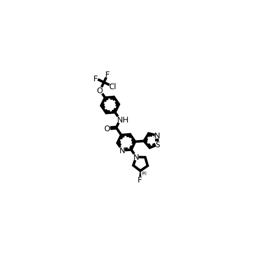 O=C(Nc1ccc(OC(F)(F)Cl)cc1)c1cnc(N2CC[C@@H](F)C2)c(-c2cnsc2)c1